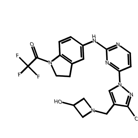 Cc1nn(-c2ccnc(Nc3ccc4c(c3)CCN4C(=O)C(F)(F)F)n2)cc1CN1CC(O)C1